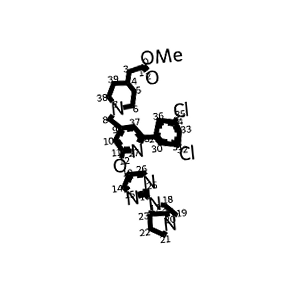 COC(=O)CC1CCN(Cc2cc(Oc3cnc(N4CCN5CCC4C5)nc3)nc(-c3cc(Cl)cc(Cl)c3)c2)CC1